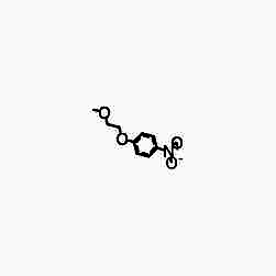 COCCOc1ccc([N+](=O)[O-])cc1